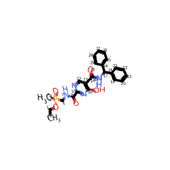 CCOP(C)(=O)CNC(=O)c1ncc(C(=O)NC(c2ccccc2)c2ccccc2)c(O)n1